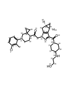 Cc1c(Cl)cccc1N1CCN(C(=O)Cn2nc(C(=O)N3CCC(NCCO)CC3)c3c2C[C@H]2C[C@@H]32)C2(CC2)C1